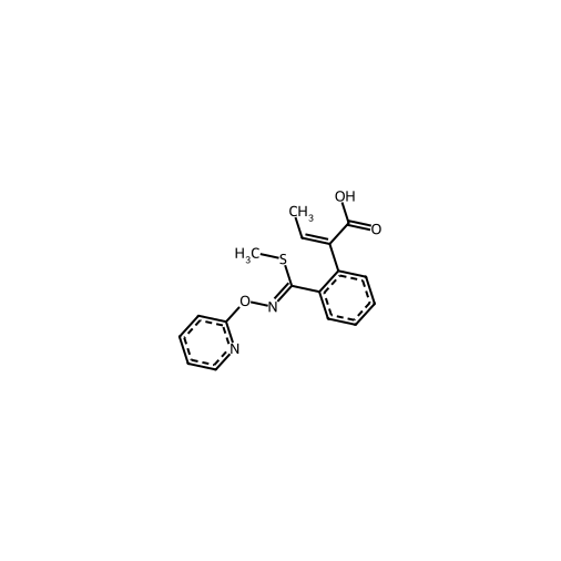 CC=C(C(=O)O)c1ccccc1C(=NOc1ccccn1)SC